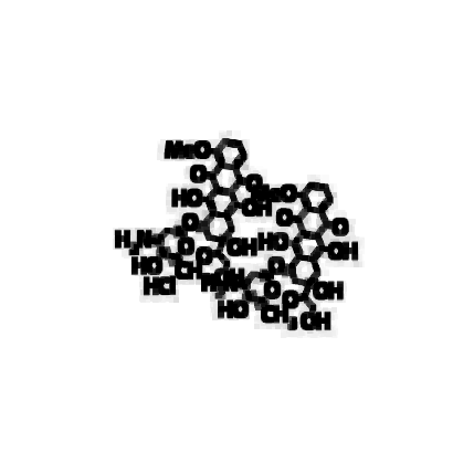 COc1cccc2c1C(=O)c1c(O)c3c(c(O)c1C2=O)C[C@@](O)(C(=O)CO)C[C@@H]3O[C@H]1C[C@H](N)[C@@H](O)[C@H](C)O1.COc1cccc2c1C(=O)c1c(O)c3c(c(O)c1C2=O)C[C@@](O)(C(=O)CO)C[C@@H]3O[C@H]1C[C@H](N)[C@@H](O)[C@H](C)O1.Cl